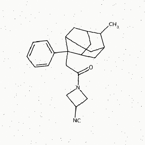 [C-]#[N+]C1CN(C(=O)CC2(c3ccccc3)C3CC4CC2CC(C3)C4C)C1